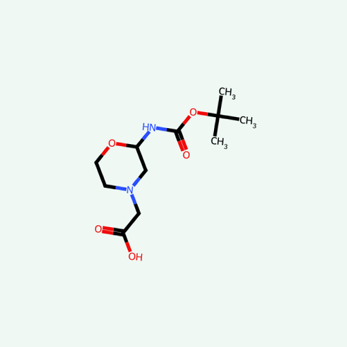 CC(C)(C)OC(=O)NC1CN(CC(=O)O)CCO1